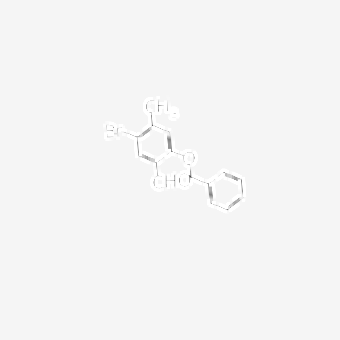 Cc1cc(OCc2ccccc2)c(C=O)cc1Br